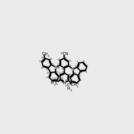 Cc1ccc2c3ccccc3n(-c3cc(C#N)cc(-n4c5ccccc5c5ccc(C)cc54)c3-c3cc(C)nc(C)c3)c2c1